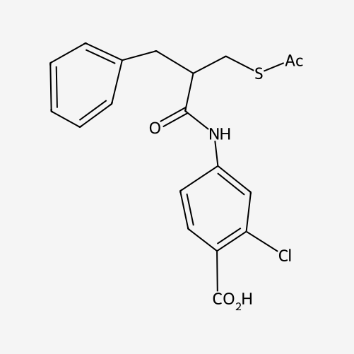 CC(=O)SCC(Cc1ccccc1)C(=O)Nc1ccc(C(=O)O)c(Cl)c1